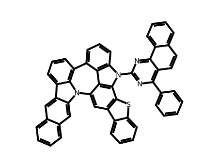 c1ccc(-c2nc(-n3c4cccc5c6cccc7c8cc9ccccc9cc8n(c8cc9c%10ccccc%10sc9c3c8c54)c67)nc3c2ccc2ccccc23)cc1